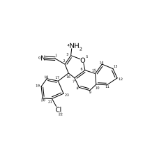 N#CC1=C(N)Oc2c(ccc3ccccc23)C1c1cccc(Cl)c1